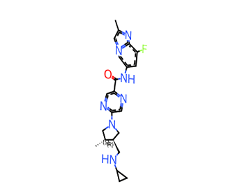 Cc1cn2cc(NC(=O)c3cnc(N4C[C@@H](CNC5CC5)[C@H](C)C4)cn3)cc(F)c2n1